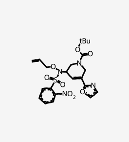 C=CCON(C1C=C(c2ncco2)CN(C(=O)OC(C)(C)C)C1)S(=O)(=O)c1ccccc1[N+](=O)[O-]